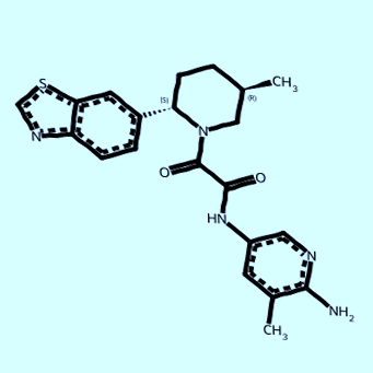 Cc1cc(NC(=O)C(=O)N2C[C@H](C)CC[C@H]2c2ccc3ncsc3c2)cnc1N